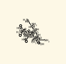 BSNCCCC[C@@H](NC(=O)CNC(=O)C(CS)NC(=O)CNC(=O)CNC(=O)[C@@H](CCCCN)NC(=O)[C@@H](Cc1ccc(O)cc1)NC(=O)[C@@H](CCSC)NC(=O)[C@@H](CCSC)NC(=O)[C@@H](C)NC(=O)[C@@H](Cc1c[nH]c2ccccc12)NC(=O)[C@H]1CCCN1C(=O)[C@@H](Cc1c[nH]cn1)NC(=O)[C@@H](Cc1c[nH]c2ccccc12)NC(=O)[C@H](N)Cc1ccccc1)C(N)=O